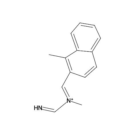 Cc1c(/C=[N+](\C)C=N)ccc2ccccc12